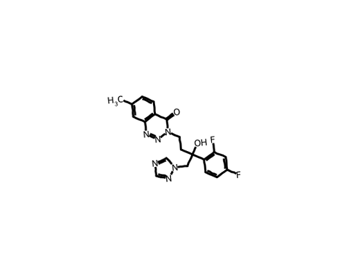 Cc1ccc2c(=O)n(CCC(O)(Cn3cncn3)c3ccc(F)cc3F)nnc2c1